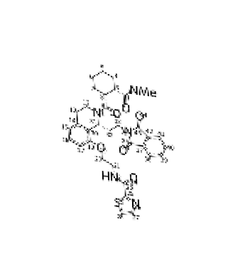 CNC(=O)[C@H]1CCCC[C@H]1C(=O)N1CCc2cccc(OCCNC(=O)c3nccs3)c2[C@H]1CCN1C(=O)c2ccccc2C1=O